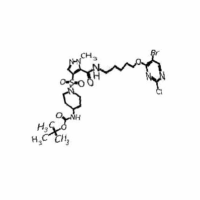 Cn1ncc(S(=O)(=O)N2CCC(NC(=O)OC(C)(C)C)CC2)c1C(=O)NCCCCCOc1nc(Cl)ncc1Br